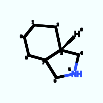 C1CC[C@H]2CNCC2C1